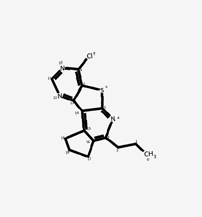 CCCc1nc2sc3c(Cl)ncnc3c2c2c1CCC2